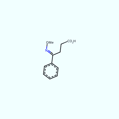 CON=C(CCC(=O)O)c1ccccc1